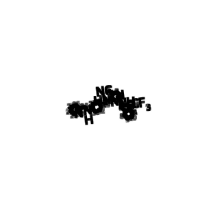 N#Cc1cnc(NCc2ccccc2OC(F)(F)F)nc1NC[C@H]1CC[C@H](NCc2ccccn2)CC1